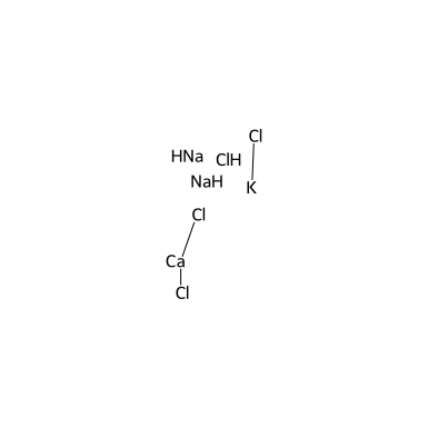 Cl.[Cl][Ca][Cl].[Cl][K].[NaH].[NaH]